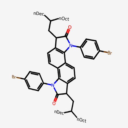 CCCCCCCCCCC(CCCCCCCC)CC1C(=O)N(c2ccc(Br)cc2)c2c1ccc1c3c(ccc21)C(CC(CCCCCCCC)CCCCCCCCCC)C(=O)N3c1ccc(Br)cc1